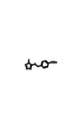 COc1ccc(CSc2nnnn2C)cc1